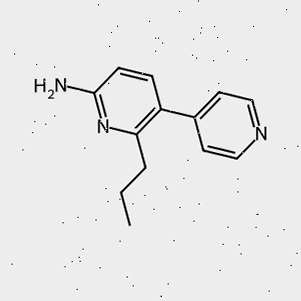 CCCc1nc(N)ccc1-c1ccncc1